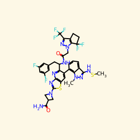 CSNc1nn(C)c2c(-c3cc4sc(N5CC(C(N)=O)C5)nc4nc3C(Cc3cc(F)cc(F)c3)NC(=O)Cn3nc(C(F)(F)F)c4c3C(F)(F)CC4)cccc12